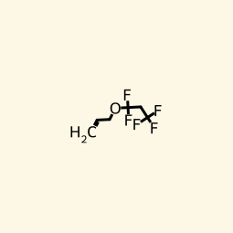 C=CCOC(F)(F)CC(F)(F)F